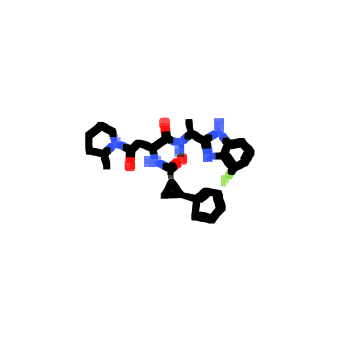 CC1CCCCN1C(=O)CC(NC(=O)[C@H]1C[C@@H]1c1ccccc1)C(=O)N[C@@H](C)c1nc2c(F)cccc2[nH]1